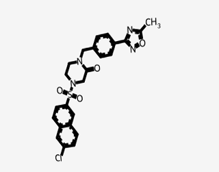 Cc1nc(-c2ccc(CN3CCN(S(=O)(=O)c4ccc5cc(Cl)ccc5c4)CC3=O)cc2)no1